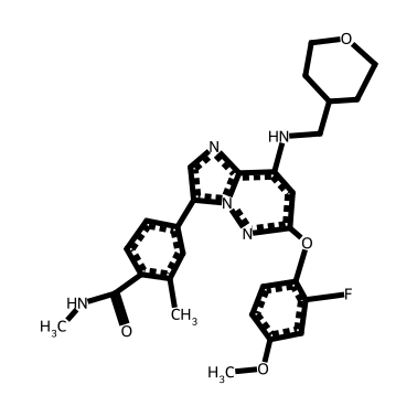 CNC(=O)c1ccc(-c2cnc3c(NCC4CCOCC4)cc(Oc4ccc(OC)cc4F)nn23)cc1C